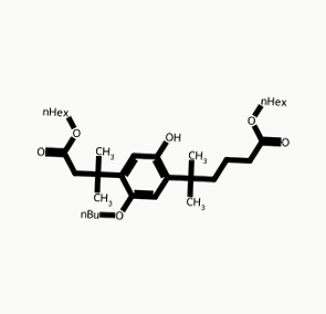 CCCCCCOC(=O)CCCC(C)(C)c1cc(OCCCC)c(C(C)(C)CC(=O)OCCCCCC)cc1O